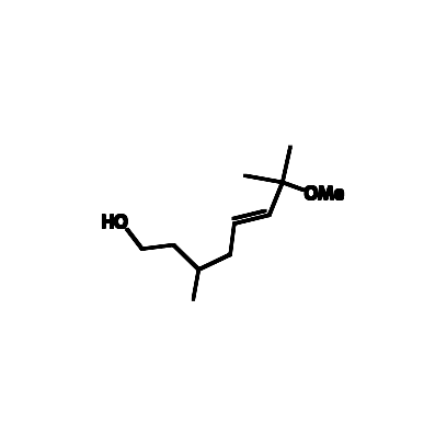 COC(C)(C)C=CCC(C)CCO